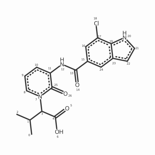 CC(C)C(C(=O)O)n1cccc(NC(=O)c2cc(Cl)c3[nH]ccc3c2)c1=O